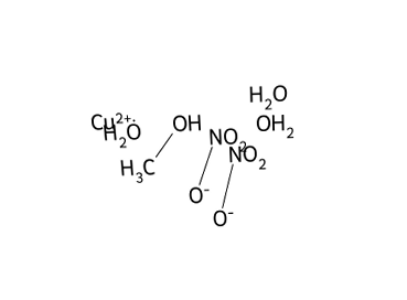 CO.O.O.O.O=[N+]([O-])[O-].O=[N+]([O-])[O-].[Cu+2]